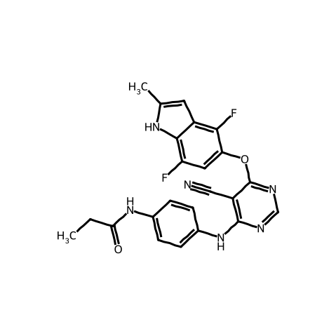 CCC(=O)Nc1ccc(Nc2ncnc(Oc3cc(F)c4[nH]c(C)cc4c3F)c2C#N)cc1